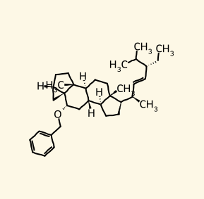 CC[C@H](C=C[C@@H](C)[C@H]1CC[C@H]2[C@@H]3C[C@H](OCc4ccccc4)[C@]45C[C@@H]4CC[C@]5(C)[C@H]3CC[C@]12C)C(C)C